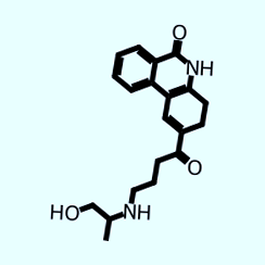 CC(CO)NCCCC(=O)C1=Cc2c([nH]c(=O)c3ccccc23)CC1